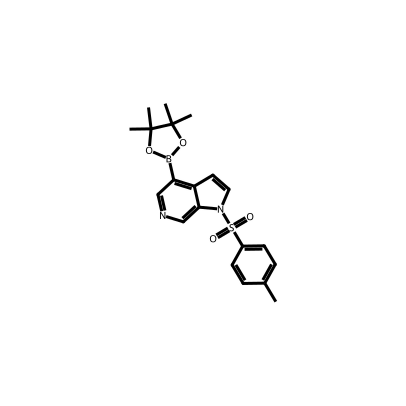 Cc1ccc(S(=O)(=O)n2ccc3c(B4OC(C)(C)C(C)(C)O4)cncc32)cc1